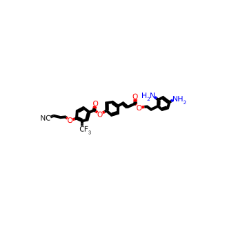 N#CCCCOc1ccc(C(=O)Oc2ccc(/C=C/C(=O)OCCc3ccc(N)cc3N)cc2)cc1C(F)(F)F